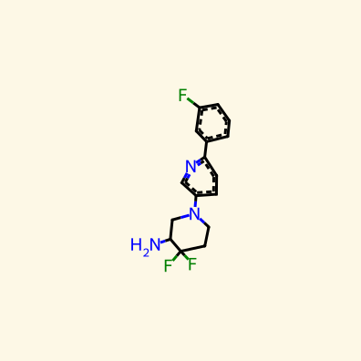 NC1CN(c2ccc(-c3cccc(F)c3)nc2)CCC1(F)F